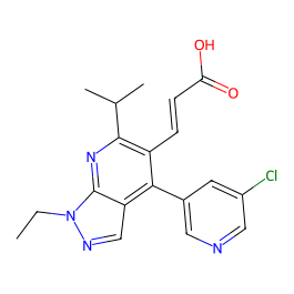 CCn1ncc2c(-c3cncc(Cl)c3)c(/C=C/C(=O)O)c(C(C)C)nc21